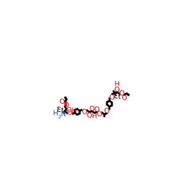 C=CC(=O)OCC(O)C(C)(CC)COCC1CCC(COCC(C)COC(=O)CC(=O)C(O)COCC2CCC(COCC(N)(CC)C(O)COC(=O)C=C)CC2)CC1